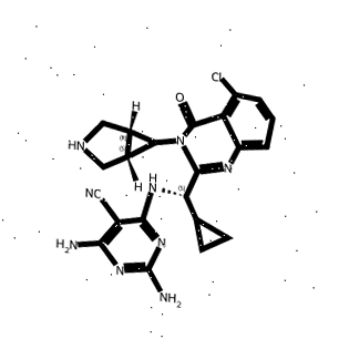 N#Cc1c(N)nc(N)nc1N[C@H](c1nc2cccc(Cl)c2c(=O)n1C1[C@H]2CNC[C@@H]12)C1CC1